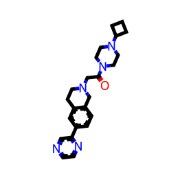 O=C(CN1CCc2cc(-c3cnccn3)ccc2C1)N1CCN(C2CCC2)CC1